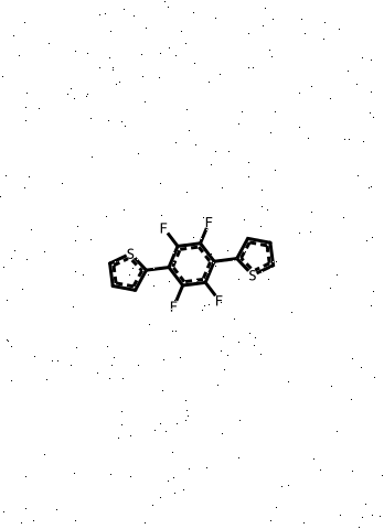 Fc1c(F)c(-c2cccs2)c(F)c(F)c1-c1cccs1